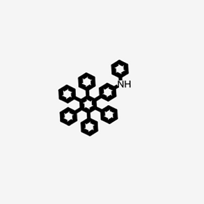 c1ccc(Nc2ccc(-c3c(-c4ccccc4)c(-c4ccccc4)c(-c4ccccc4)c(-c4ccccc4)c3-c3ccccc3)cc2)cc1